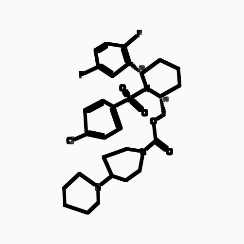 O=C(OC[C@H]1CCC[C@@H](c2cc(F)ccc2F)N1S(=O)(=O)c1ccc(Cl)cc1)N1CCC(N2CCCCC2)CC1